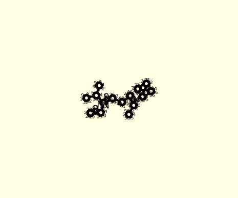 c1ccc(-c2cc(-c3ccccc3)cc(-c3nc(-c4cccc5c4oc4ccccc45)nc4c3sc3ccc(-c5cccc(-c6cccc7c6c6cc(-c8ccccc8)ccc6n7-c6ccc7c(c6)C6(c8ccccc8-c8ccccc86)c6ccccc6-7)c5)cc34)c2)cc1